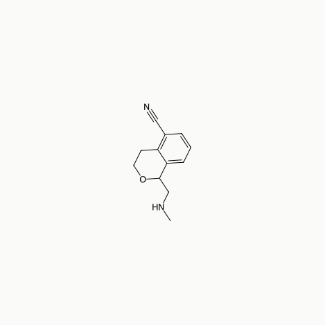 CNCC1OCCc2c(C#N)cccc21